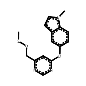 CSOCc1cc(Oc2ccc3c(ccn3C)c2)ncn1